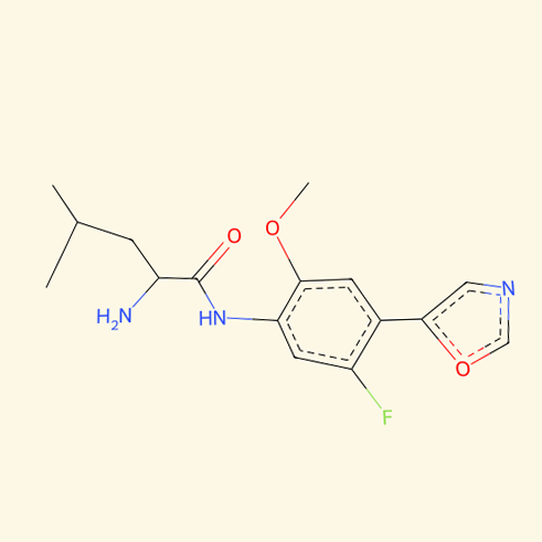 COc1cc(-c2cnco2)c(F)cc1NC(=O)C(N)CC(C)C